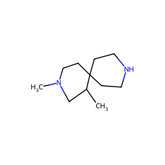 CC1CN(C)CCC12CCNCC2